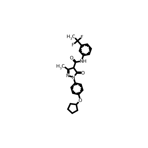 CC1=NN(c2ccc(OC3CCCC3)cc2)C(=O)C1C(=O)Nc1cccc(C(C)(F)F)c1